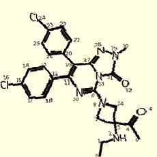 CCNC1(C(C)=O)CN(c2nc(-c3ccc(Cl)cc3)c(-c3ccc(Cl)cc3)c3nn(C)c(=O)n23)C1